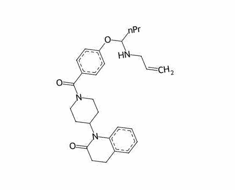 C=CCNC(CCC)Oc1ccc(C(=O)N2CCC(N3C(=O)CCc4ccccc43)CC2)cc1